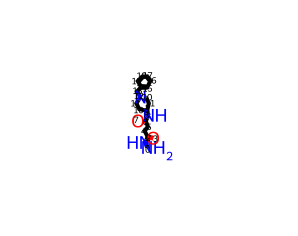 NNC(=O)CCC(=O)NC1CCN(Cc2ccccc2)CC1